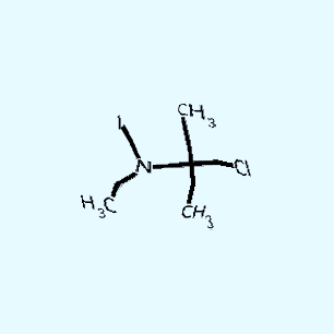 CN(I)C(C)(C)Cl